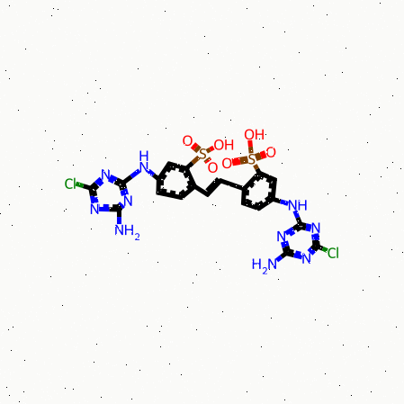 Nc1nc(Cl)nc(Nc2ccc(/C=C/c3ccc(Nc4nc(N)nc(Cl)n4)cc3S(=O)(=O)O)c(S(=O)(=O)O)c2)n1